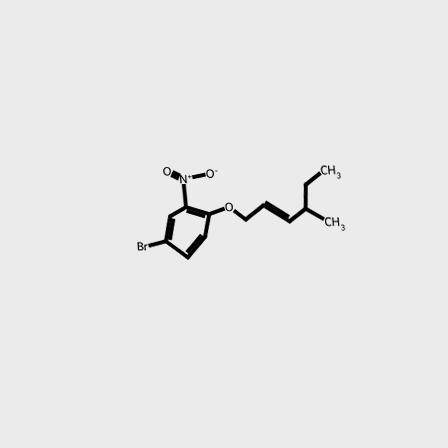 CCC(C)C=CCOc1ccc(Br)cc1[N+](=O)[O-]